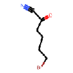 N#CC(=O)CCCCBr